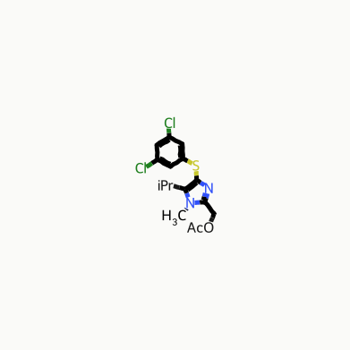 CC(=O)OCc1nc(Sc2cc(Cl)cc(Cl)c2)c(C(C)C)n1C